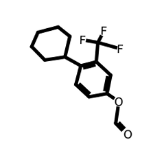 O=COc1ccc(C2CCCCC2)c(C(F)(F)F)c1